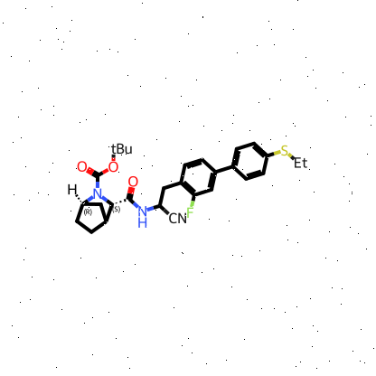 CCSc1ccc(-c2ccc(CC(C#N)NC(=O)[C@@H]3C4CC[C@H](C4)N3C(=O)OC(C)(C)C)c(F)c2)cc1